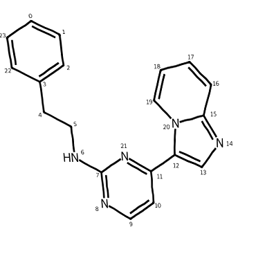 c1ccc(CCNc2nccc(-c3cnc4ccccn34)n2)cc1